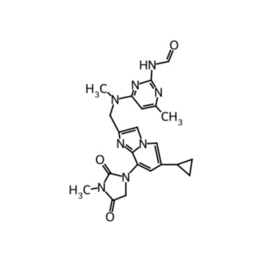 Cc1cc(N(C)Cc2cn3cc(C4CC4)cc(N4CC(=O)N(C)C4=O)c3n2)nc(NC=O)n1